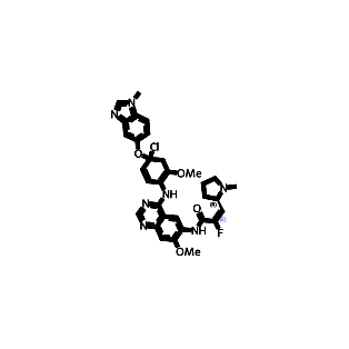 COC1=C(Nc2ncnc3cc(OC)c(NC(=O)/C(F)=C\[C@H]4CCCN4C)cc23)C=CC(Cl)(Oc2ccc3c(c2)ncn3C)C1